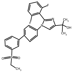 CCS(=O)(=O)c1cccc(-c2ccc(-n3cc(C(C)(C)O)nc3-c3c(F)cccc3F)cc2)c1